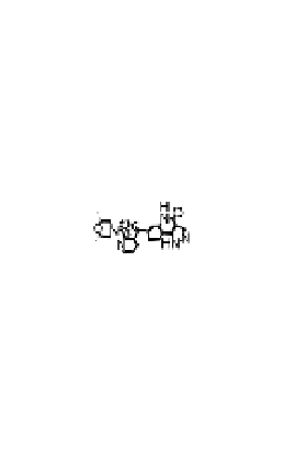 C[C@@H]1CN(C(=O)c2ncccc2C(c2ccc3c(c2)[nH]c(=O)c2cn[nH]c23)C(F)(F)F)C[C@H](C)O1